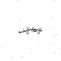 C=CC(=O)NCc1ccc2c(c1)OC(/C=C/C(=O)NC/C=C(\C)CCC=C(C)C)O2